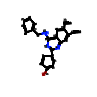 COc1cc2nc(-c3ccc(Br)cc3)nc(NCc3ccccc3)c2cc1OC